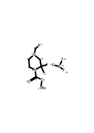 CC(C)(C)OC(=O)N1CCN([CH2][K])CC1(C)C.FB(F)F